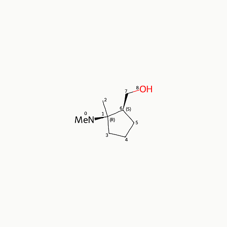 CN[C@]1(C)CCC[C@@H]1CO